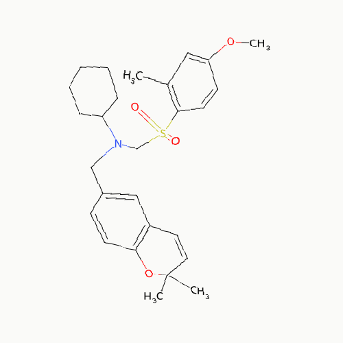 COc1ccc(S(=O)(=O)CN(Cc2ccc3c(c2)C=CC(C)(C)O3)C2CCCCC2)c(C)c1